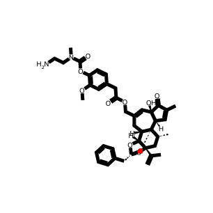 C=C(C)[C@]12C[C@@H](C)[C@@]34O[C@](Cc5ccccc5)(O[C@@H]1[C@@H]3CC(COC(=O)Cc1ccc(OC(=O)N(C)CCN)c(OC)c1)=C[C@]1(O)C(=O)C(C)=C[C@@H]41)O2